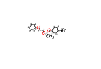 CC(OCCOc1ccccc1)Oc1ccc(C(C)C)cc1